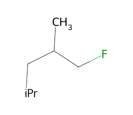 [CH2]C(C)CC(C)CF